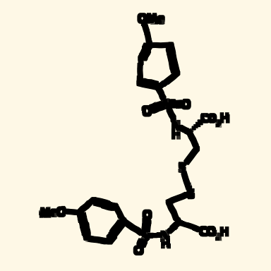 COc1ccc(S(=O)(=O)NC(CSSC[C@H](NS(=O)(=O)c2ccc(OC)cc2)C(=O)O)C(=O)O)cc1